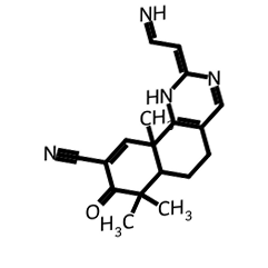 CC1(C)C(=O)C(C#N)=CC2(C)C3=C(C=N/C(=C/C=N)N3)CCC12